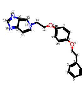 c1ccc(CCOc2ccc(OCCn3ccc4ncnc-4c3)cc2)cc1